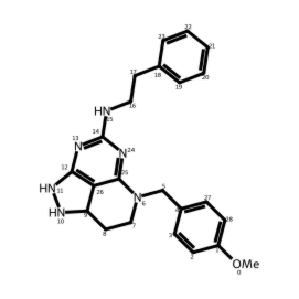 COc1ccc(CN2CCC3NNc4nc(NCCc5ccccc5)nc2c43)cc1